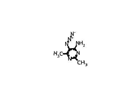 Cc1nc(C)c(N=[N+]=[N-])c(N)n1